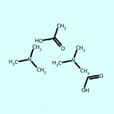 CC(=O)O.CN(C)C.CN(C)C.O=CO